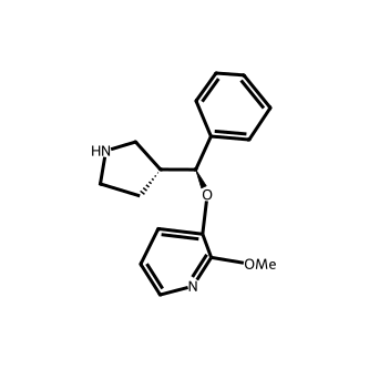 COc1ncccc1O[C@H](c1ccccc1)[C@@H]1CCNC1